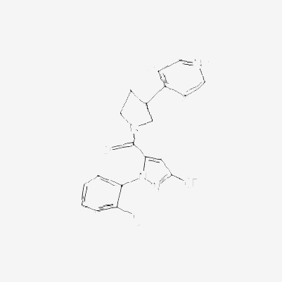 O=C(c1cc(C(F)(F)F)nn1-c1ccccc1Cl)N1CCC(c2ccncc2)C1